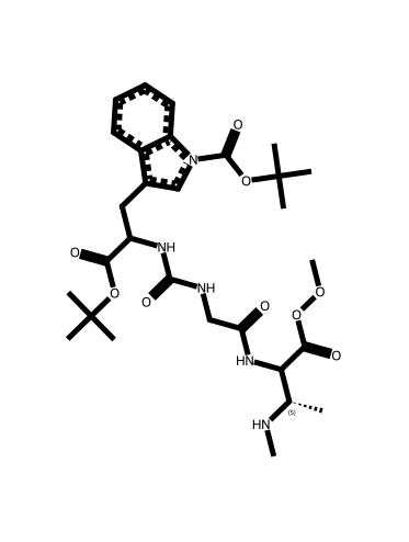 CN[C@@H](C)C(NC(=O)CNC(=O)NC(Cc1cn(C(=O)OC(C)(C)C)c2ccccc12)C(=O)OC(C)(C)C)C(=O)OOC